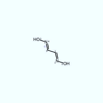 ON=C/[C]=N/O